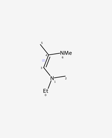 CCN(C)/C=C(/C)NC